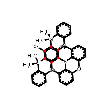 CC(C)c1cc(C(C)C)c(B2c3c(cccc3N3c4ccccc4[Si](C)(C)c4ccccc43)Oc3cccc(N4c5ccccc5[Si](C)(C)c5ccccc54)c32)c(C(C)C)c1